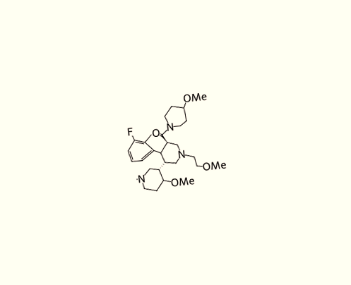 COCCN1CC([C@H]2C[N]CCC2OC)C(c2cccc(F)c2C)[C@@H](C(=O)N2CCC(OC)CC2)C1